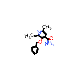 CCc1nc(C)cc(C(N)=O)c1OCc1ccccc1